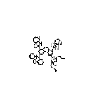 C=C/C=C\C1=CN(c2cc(-c3nc4ncccc4o3)c3ccc4c(-c5nc6ncccc6o5)cc(N5c6ccccc6Oc6ccccc65)cc4c3c2)C(/C=C\C=C)=CO1